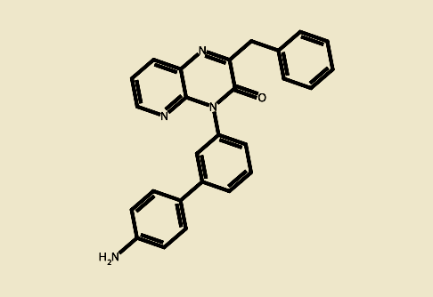 Nc1ccc(-c2cccc(-n3c(=O)c(Cc4ccccc4)nc4cccnc43)c2)cc1